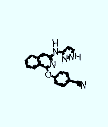 N#Cc1ccc(Oc2nc(Nc3cc[nH]n3)cc3ccccc23)cc1